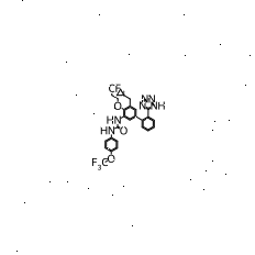 O=C(Nc1ccc(OC(F)(F)F)cc1)Nc1cc(-c2ccccc2-c2nnn[nH]2)cc(CC2CC2)c1OCCC(F)(F)F